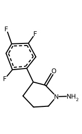 NN1CCCC(c2cc(F)c(F)cc2F)C1=O